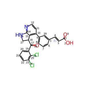 O=C(O)/C=C/c1cccc(-c2ccnc3c2C(C(=O)c2cccc(Cl)c2Cl)CN3)c1